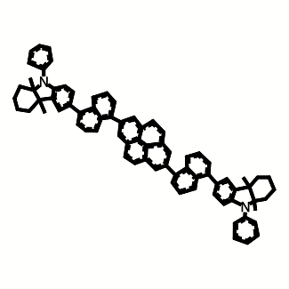 CC12CCCCC1(C)N(c1ccccc1)c1ccc(-c3cccc4c(-c5cc6ccc7cc(-c8cccc9c(-c%10ccc%11c(c%10)C%10(C)CCCCC%10(C)N%11c%10ccccc%10)cccc89)cc8ccc(c5)c6c78)cccc34)cc12